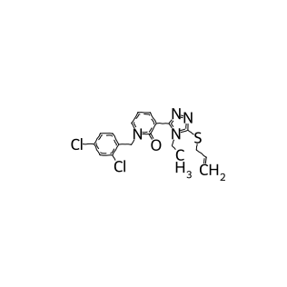 C=CCSc1nnc(-c2cccn(Cc3ccc(Cl)cc3Cl)c2=O)n1CC